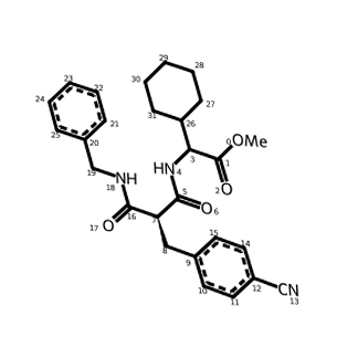 COC(=O)C(NC(=O)[C@@H](Cc1ccc(C#N)cc1)C(=O)NCc1ccccc1)C1CCCCC1